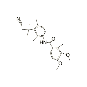 COc1ccc(C(=O)Nc2ccc(C)c(C(C)(C)CC#N)c2C)c(C)c1OC